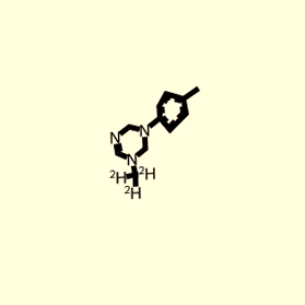 [2H]C([2H])([2H])N1C=NCN(c2ccc(C)cc2)C1